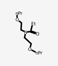 CCCOCCN(CCOCCC)C(=O)CC